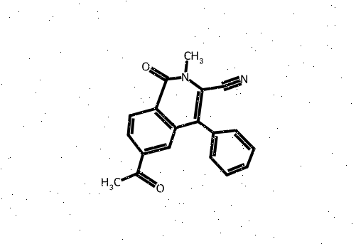 CC(=O)c1ccc2c(=O)n(C)c(C#N)c(-c3ccccc3)c2c1